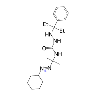 CCC(CC)(NNC(=O)NC(C)(C)/N=N/C1CCCCC1)c1ccccc1